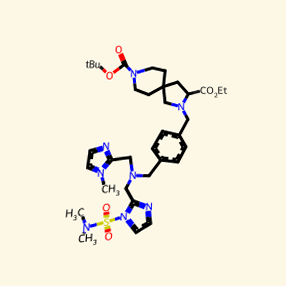 CCOC(=O)C1CC2(CCN(C(=O)OC(C)(C)C)CC2)CN1Cc1ccc(CN(Cc2nccn2C)Cc2nccn2S(=O)(=O)N(C)C)cc1